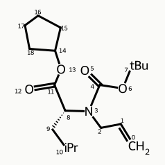 C=CCN(C(=O)OC(C)(C)C)[C@H](CC(C)C)C(=O)OC1CCCC1